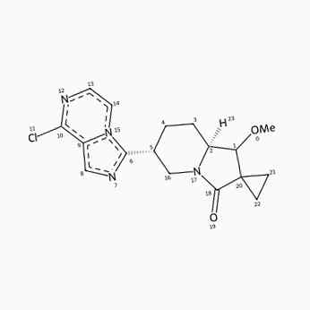 COC1[C@@H]2CC[C@@H](c3ncc4c(Cl)nccn34)CN2C(=O)C12CC2